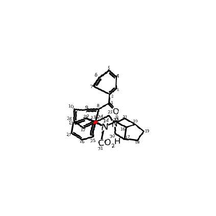 O=C(c1ccccc1)c1ccccc1N(CC1C2CCC1CN(Cc1ccccc1)C2)C(=O)O